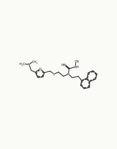 CN(C)Cc1ccc(CSCCN(CCc2cccc3ccccc23)C(=N)NC#N)o1